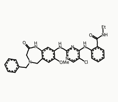 CCNC(=O)c1ccccc1Nc1nc(Nc2cc3c(cc2OC)CN(Cc2ccccc2)CC(=O)N3)ncc1Cl